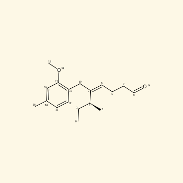 CC[C@H](C)/C(=C\CCC=O)Cc1ccc(C)cc1OC